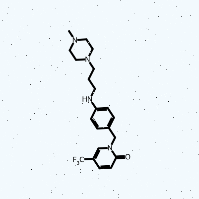 CN1CCN(CCCNc2ccc(Cn3cc(C(F)(F)F)ccc3=O)cc2)CC1